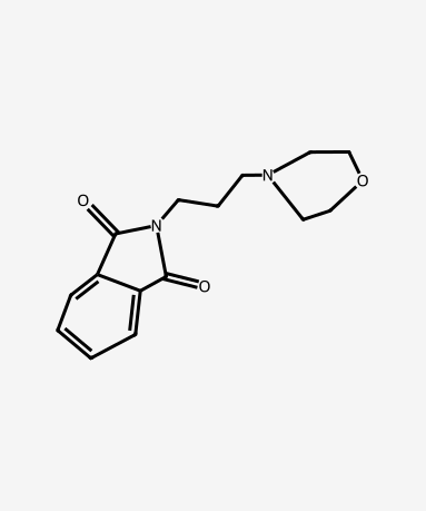 O=C1c2ccccc2C(=O)N1CCCN1CCOCC1